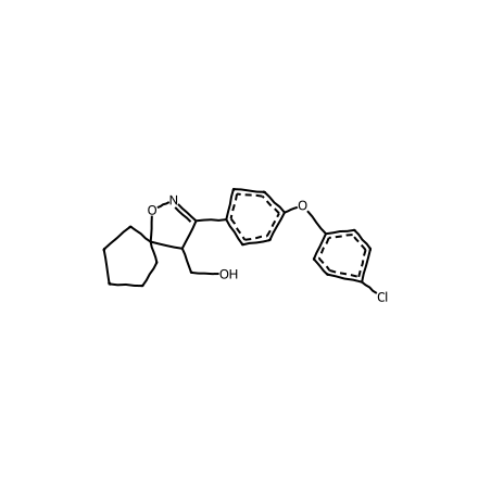 OCC1C(c2ccc(Oc3ccc(Cl)cc3)cc2)=NOC12CCCCC2